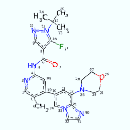 Cc1cnc(NC(=O)c2cnn(C(C)(C)C)c2F)cc1-c1cc(N2CCOCC2)c2nccn2c1